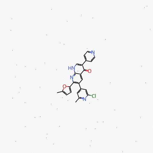 Cc1cc(-c2cc3c(=O)c(-c4ccncc4)c[nH]c3nc2-c2ccc(C)o2)cc(Cl)n1